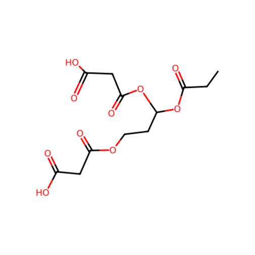 CCC(=O)OC(CCOC(=O)CC(=O)O)OC(=O)CC(=O)O